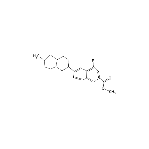 COC(=O)c1cc(F)c2cc(C3CCC4CC(C)CCC4C3)ccc2c1